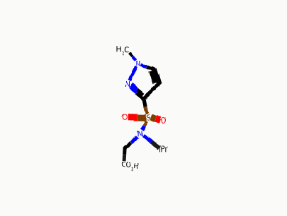 CC(C)N(CC(=O)O)S(=O)(=O)c1ccn(C)n1